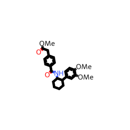 COC(=O)Cc1ccc(C(=O)NC2CCCCC2c2ccc(OC)c(OC)c2)cc1